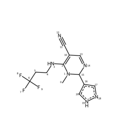 CN1C(NCCC(F)(F)F)=C(C#N)C=NC1c1cn[nH]c1